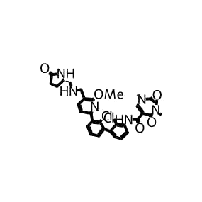 COc1nc(-c2cccc(-c3cccc(NC(=O)C4=CN(C)C5OC5N(C)C4=O)c3Cl)c2Cl)ccc1CNC[C@@H]1CCC(=O)N1